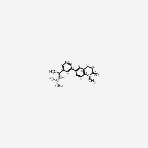 C[C@H](N[S@+]([O-])C(C)(C)C)c1cncc(-c2ccc3c(c2)CCC(=O)N3C)c1